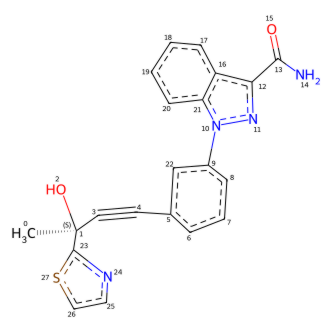 C[C@](O)(C#Cc1cccc(-n2nc(C(N)=O)c3ccccc32)c1)c1nccs1